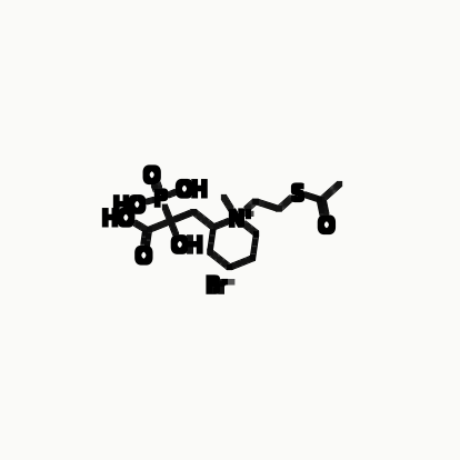 CC(=O)SCC[N+]1(C)CCCCC1CC(O)(C(=O)O)P(=O)(O)O.[Br-]